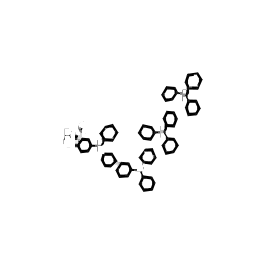 [Cl][Ru][Cl].c1ccc(P(c2ccccc2)c2ccccc2)cc1.c1ccc(P(c2ccccc2)c2ccccc2)cc1.c1ccc(P(c2ccccc2)c2ccccc2)cc1.c1ccc(P(c2ccccc2)c2ccccc2)cc1